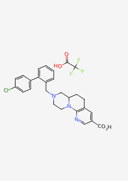 O=C(O)C(F)(F)F.O=C(O)c1cnc2c(c1)CCC1CN(Cc3ccccc3-c3ccc(Cl)cc3)CCN21